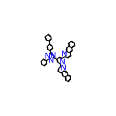 c1ccc(-c2ccc(-c3nc(-c4ccccc4)nc(-c4cc(-c5ccc6cc7ccccc7cc6n5)nc(-c5ccc6cc7ccccc7cc6n5)c4)n3)cc2)cc1